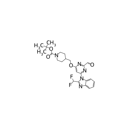 CC(C)(C)OC(=O)N1CCC(COc2cc(-n3c(C(F)F)nc4ccccc43)nc(C=O)n2)CC1